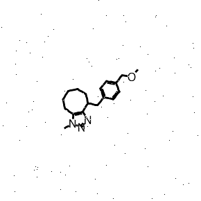 COCc1ccc(CC2CCCCCc3c2nnn3C)cc1